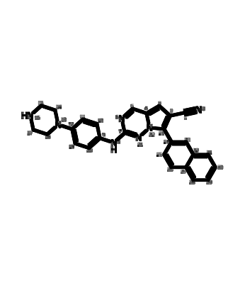 N#Cc1cc2cnc(Nc3ccc(N4CCNCC4)cc3)nn2c1-c1ccc2ccccc2c1